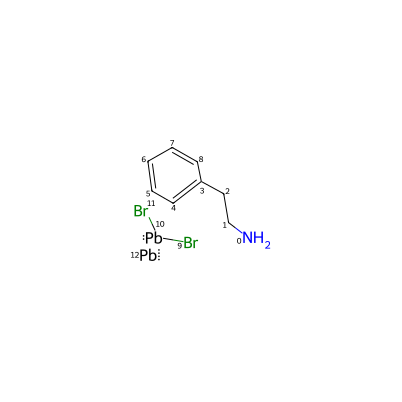 NCCc1ccccc1.[Br][Pb][Br].[Pb]